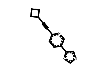 C(#CC1CCC1)c1ccc(-c2cncs2)cn1